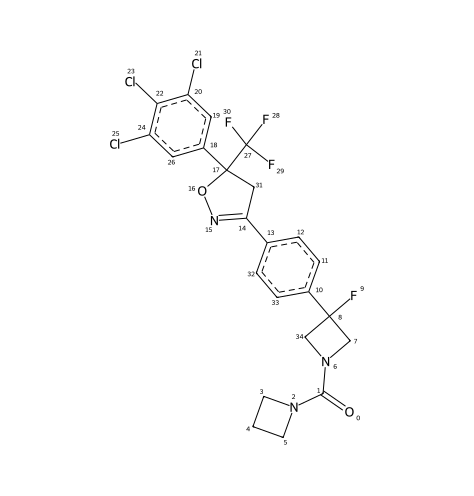 O=C(N1CCC1)N1CC(F)(c2ccc(C3=NOC(c4cc(Cl)c(Cl)c(Cl)c4)(C(F)(F)F)C3)cc2)C1